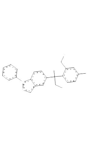 NCc1cc(F)ccc1C(O)(CF)c1ccc2c(cnn2-c2ccccc2)c1